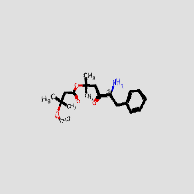 CC(C)(CC(=O)OC(C)(C)CC(=O)[C@@H](N)Cc1ccccc1)O[C]=O